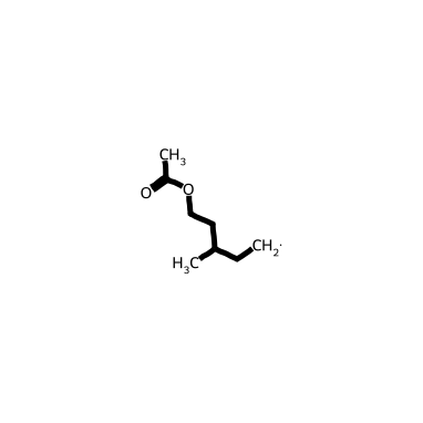 [CH2]CC(C)CCOC(C)=O